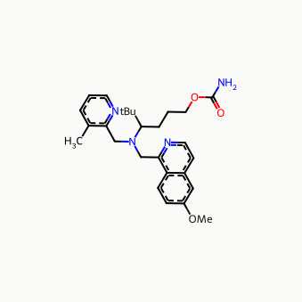 COc1ccc2c(CN(Cc3ncccc3C)C(CCCOC(N)=O)C(C)(C)C)nccc2c1